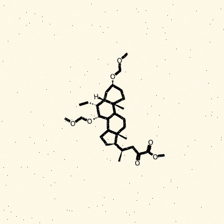 CC[C@H]1[C@@H](OCOC)C2C3CC[C@H]([C@H](C)CC(=O)C(=O)OC)[C@@]3(C)CCC2[C@@]2(C)CC[C@@H](OCOC)C[C@@H]12